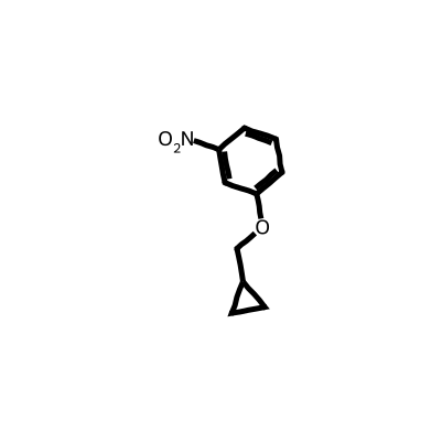 O=[N+]([O-])c1cccc(OCC2CC2)c1